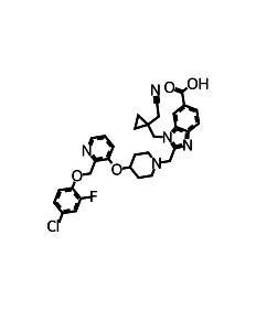 N#CCC1(Cn2c(CN3CCC(Oc4cccnc4COc4ccc(Cl)cc4F)CC3)nc3ccc(C(=O)O)cc32)CC1